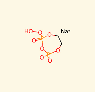 O=P1([O-])OCCOP(=O)(OO)O1.[Na+]